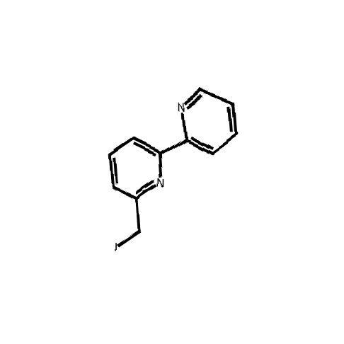 ICc1cccc(-c2ccccn2)n1